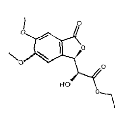 CCOC(=O)[C@@H](O)[C@@H]1OC(=O)c2cc(OC)c(OC)cc21